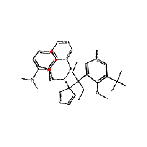 CCC(CC)(c1cc(C)cc(C(C)(C)C)c1OC)[C]1([Y]([CH2]c2ccccc2N(C)C)[CH2]c2ccccc2N(C)C)C=CC=C1